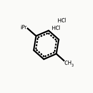 Cc1ccc(C(C)C)cc1.Cl.Cl